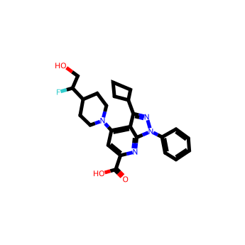 O=C(O)c1cc(N2CCC(C(F)CO)CC2)c2c(C3CCC3)nn(-c3ccccc3)c2n1